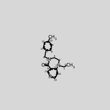 CCN1CCN(Cc2ccc(C)cc2)C(=O)c2cnccc21